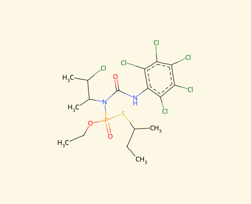 CCOP(=O)(SC(C)CC)N(C(=O)Nc1c(Cl)c(Cl)c(Cl)c(Cl)c1Cl)C(C)C(C)Cl